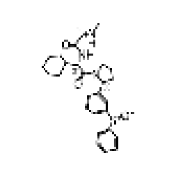 CN[C@@H](C)C(=O)N[C@H](C(=O)N1CCC[C@H]1c1cccc([S+]([O-])c2ccccc2)c1)C1CCCCC1